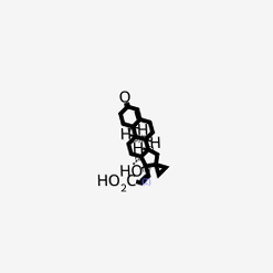 C[C@]12CC[C@H]3[C@@H](CCC4=CC(=O)CC[C@@H]43)[C@@H]1CC1(CC1)[C@@]2(O)/C=C\C(=O)O